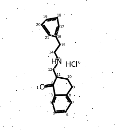 Cl.O=C1c2ccccc2CCC1CNCCc1ccccc1